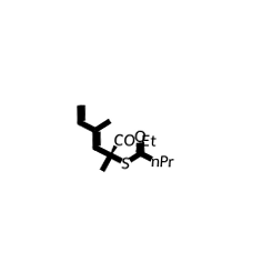 C=C/C(C)=C/[C@@](C)(SC(=O)CCC)C(=O)OCC